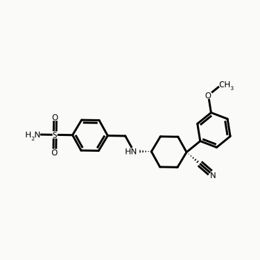 COc1cccc([C@]2(C#N)CC[C@@H](NCc3ccc(S(N)(=O)=O)cc3)CC2)c1